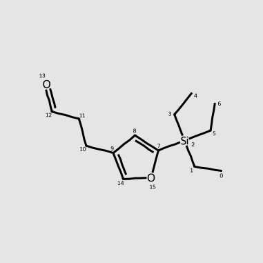 CC[Si](CC)(CC)c1cc(CCC=O)co1